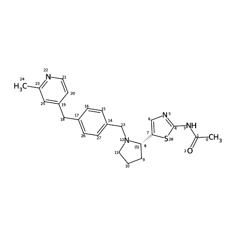 CC(=O)Nc1ncc([C@@H]2CCCN2Cc2ccc(Cc3ccnc(C)c3)cc2)s1